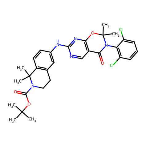 CC(C)(C)OC(=O)N1CCc2cc(Nc3ncc4c(n3)OC(C)(C)N(c3c(Cl)cccc3Cl)C4=O)ccc2C1(C)C